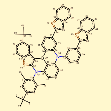 Cc1cc(C(C)(C)C)cc(C)c1N1c2cccc3c2B(c2ccc(-c4cc5ccccc5s4)cc2N3c2cccc(-c3cc4ccccc4s3)c2)c2c1sc1ccc(C(C)(C)C)cc21